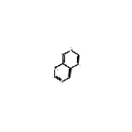 C1=CC2=CN=CNC2=C[N]1